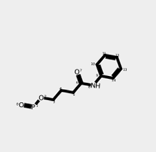 O=POCCCC(=O)Nc1ccccc1